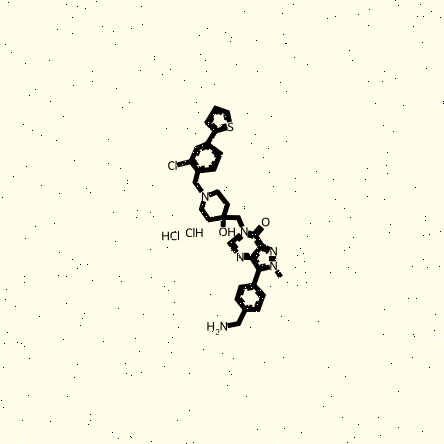 Cl.Cl.Cn1nc2c(=O)n(CC3(O)CCN(Cc4ccc(-c5cccs5)cc4Cl)CC3)cnc2c1-c1ccc(CN)cc1